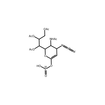 CC(=O)NC1C(N=[N+]=[N-])C=C(O[PH](=O)O)OC1C(OC(C)=O)C(COC(C)=O)OC(C)=O